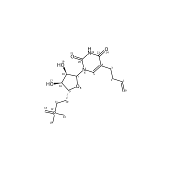 C=CCCc1cn(C2O[C@H](CCP(=C)(C)C)[C@@H](O)[C@H]2O)c(=O)[nH]c1=O